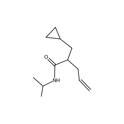 C=CCC(CC1CC1)C(=O)NC(C)C